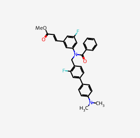 COC(=O)/C=C/c1cc(F)cc(N(Cc2ccc(-c3ccc(N(C)C)cc3)cc2F)C(=O)c2ccccc2)c1